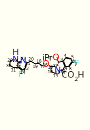 CC(C)OCc1ccc(F)cc1C(C(=O)O)N1CCC(OCCCCc2cc(F)c3c(n2)NCCC3)C1